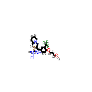 CNC1NC(c2ccc(OCCCOC)c(C(F)(F)F)c2)=C(CN2CCCCC2C)S1